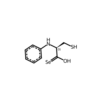 OC(=[Se])[C@H](CS)Nc1ccccc1